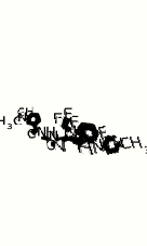 CN1CC[C@@H](Nc2cccc3c2cc(-c2noc(CNC(=O)c4cccc(N(C)C)c4)n2)n3CC(F)(F)F)[C@@H](F)C1